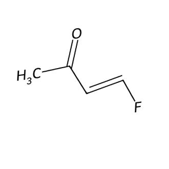 CC(=O)C=CF